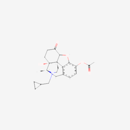 CCC(=O)Oc1ccc2c3c1OC1C(=O)CC[C@@]4(O)[C@@H](C2)N(CC2CC2)CC[C@]314